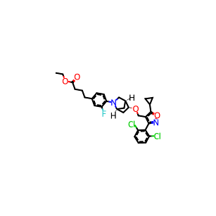 CCOC(=O)CCCc1ccc(N2C[C@@H]3C[C@H]2C[C@H]3OCc2c(-c3c(Cl)cccc3Cl)noc2C2CC2)c(F)c1